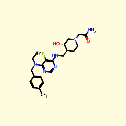 CC(C)CN(Cc1ccc(C(F)(F)F)cc1)c1ncnc(NC[C@@H]2CCN(CC(N)=O)C[C@H]2O)c1F